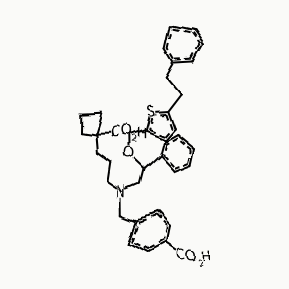 O=C(O)c1ccc(CN(CCCC2(C(=O)O)CCC2)CC(OCc2ccc(CCc3ccccc3)s2)c2ccccc2)cc1